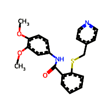 COc1ccc(NC(=O)c2ccccc2SCc2ccncc2)cc1OC